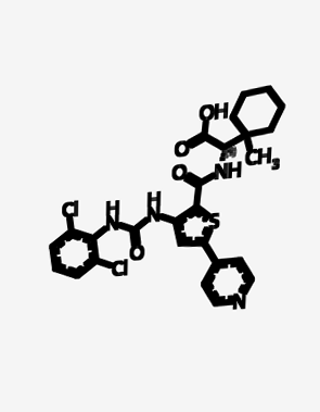 CC1([C@H](NC(=O)c2sc(-c3ccncc3)cc2NC(=O)Nc2c(Cl)cccc2Cl)C(=O)O)CCCCC1